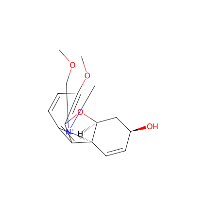 COC[N+]1(C)CC[C@@]23C=C[C@H](O)C[C@@H]2Oc2c(OC)ccc(c23)C1